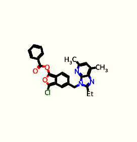 CCc1nc2c(C)cc(C)nc2n1Cc1ccc2c(OC(=O)c3ccccc3)oc(Cl)c2c1